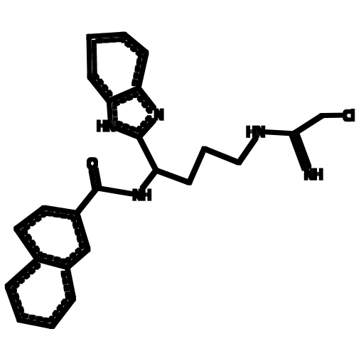 N=C(CCl)NCCCC(NC(=O)c1ccc2ccccc2c1)c1nc2ccccc2[nH]1